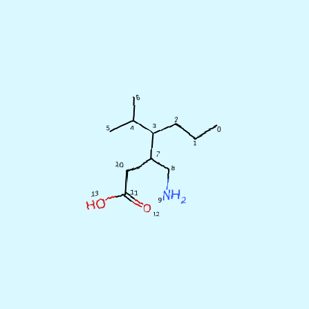 CCCC(C(C)C)C(CN)CC(=O)O